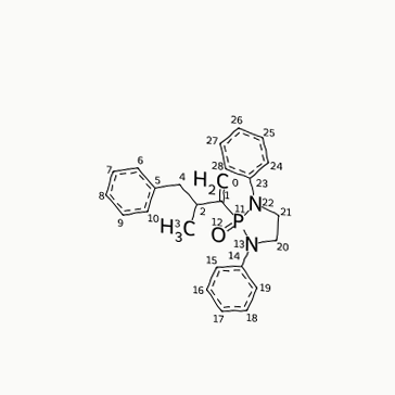 C=C(C(C)Cc1ccccc1)P1(=O)N(c2ccccc2)CCN1c1ccccc1